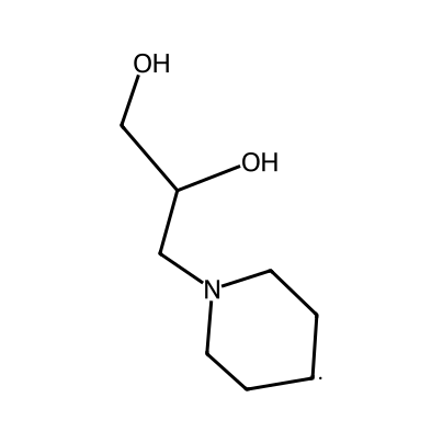 OCC(O)CN1CC[CH]CC1